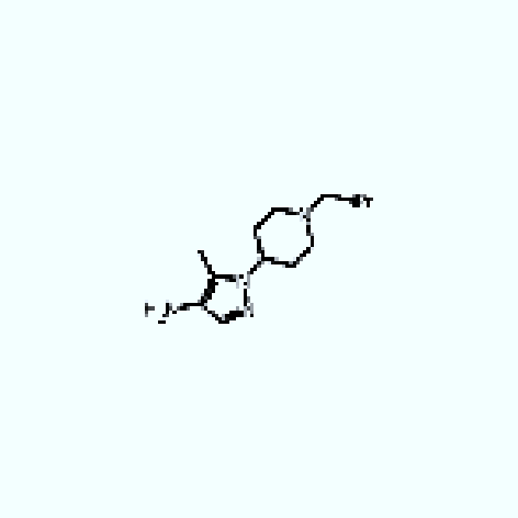 Cc1c(N)cnn1C1CCN(CC(C)C)CC1